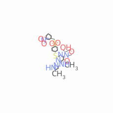 COc1c(Nc2cc(C)[nH]n2)nc(Sc2ccc(S(=O)(=O)Cc3cccc([N+](=O)[O-])c3)cc2)nc1N1CCOC[C@@H]1CO